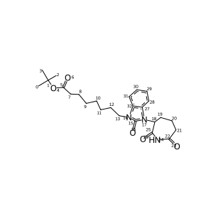 CC(C)(C)OC(=O)CCCCCCCn1c(=O)n(C2CCCC(=O)NC2=O)c2ccccc21